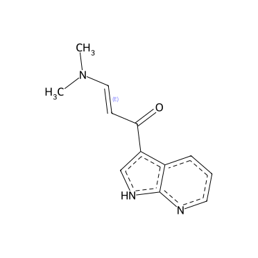 CN(C)/C=C/C(=O)c1c[nH]c2ncccc12